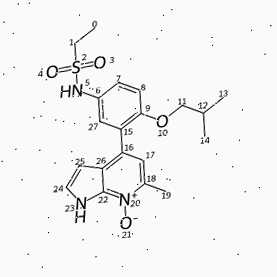 CCS(=O)(=O)Nc1ccc(OCC(C)C)c(-c2cc(C)[n+]([O-])c3[nH]ccc23)c1